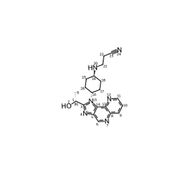 C[C@@H](O)c1nc2cnc3cccnc3c2n1[C@H]1CC[C@H](NCCC#N)CC1